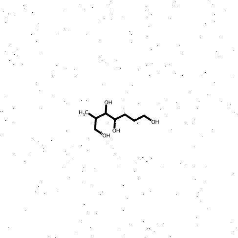 CC(CO)C(O)C(O)CCCO